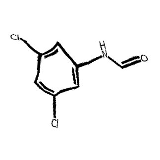 O=CNc1cc(Cl)cc(Cl)c1